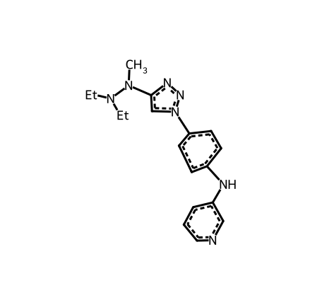 CCN(CC)N(C)c1cn(-c2ccc(Nc3cccnc3)cc2)nn1